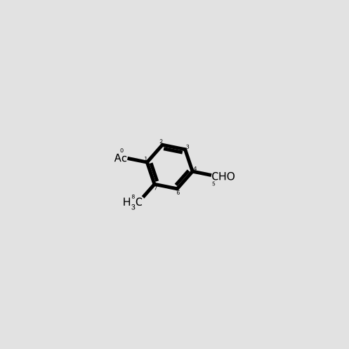 CC(=O)c1ccc(C=O)cc1C